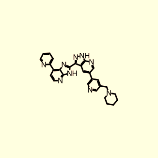 c1ccc(-c2ccnc3[nH]c(-c4n[nH]c5ncc(-c6cncc(CN7CCCCC7)c6)cc45)nc23)nc1